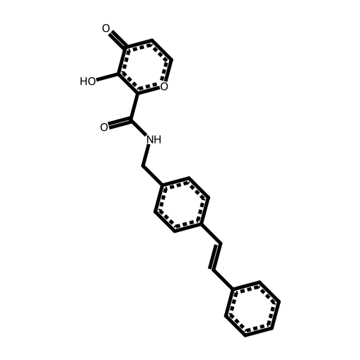 O=C(NCc1ccc(C=Cc2ccccc2)cc1)c1occc(=O)c1O